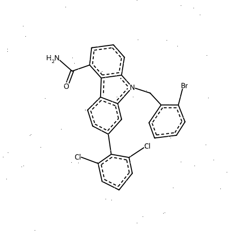 NC(=O)c1cccc2c1c1[c]cc(-c3c(Cl)cccc3Cl)cc1n2Cc1ccccc1Br